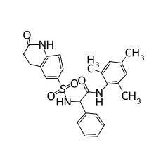 Cc1cc(C)c(NC(=O)C(NS(=O)(=O)c2ccc3c(c2)CCC(=O)N3)c2ccccc2)c(C)c1